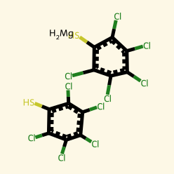 Sc1c(Cl)c(Cl)c(Cl)c(Cl)c1Cl.Sc1c(Cl)c(Cl)c(Cl)c(Cl)c1Cl.[MgH2]